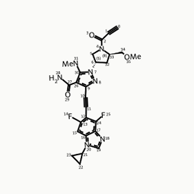 C#CC(=O)N1C[C@@H](n2nc(C#Cc3c(F)cc4c(ncn4C4CC4)c3F)c(C(N)=O)c2NC)C[C@@H]1COC